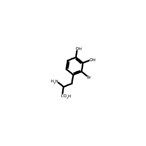 NC(Cc1ccc(O)c(O)c1Br)C(=O)O